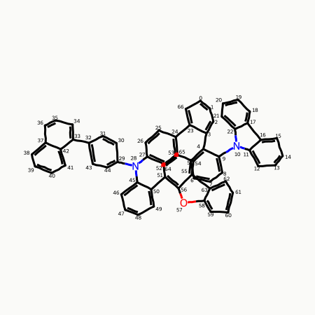 c1ccc(-c2ccccc2-n2c3ccccc3c3ccccc32)c(-c2ccc(N(c3ccc(-c4cccc5ccccc45)cc3)c3ccccc3-c3cccc4c3oc3ccccc34)cc2)c1